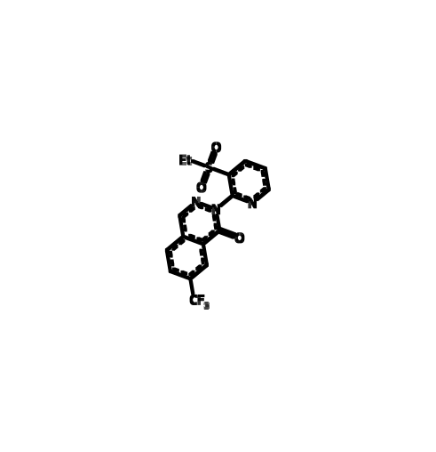 CCS(=O)(=O)c1cccnc1-n1ncc2ccc(C(F)(F)F)cc2c1=O